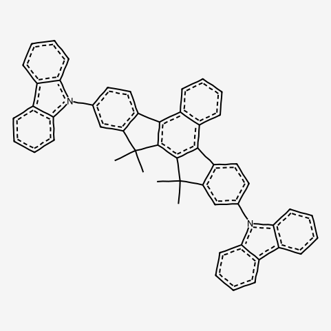 CC1(C)c2cc(-n3c4ccccc4c4ccccc43)ccc2-c2c1c1c(c3ccccc23)-c2ccc(-n3c4ccccc4c4ccccc43)cc2C1(C)C